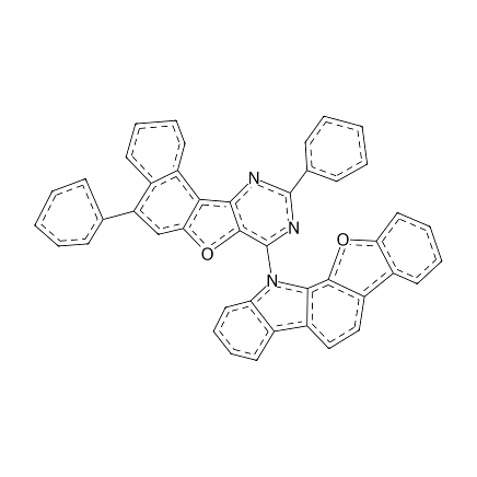 c1ccc(-c2nc(-n3c4ccccc4c4ccc5c6ccccc6oc5c43)c3oc4cc(-c5ccccc5)c5ccccc5c4c3n2)cc1